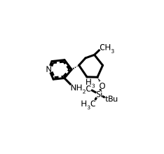 CC1C[C@H](O[Si](C)(C)C(C)(C)C)C[C@H](c2ccncc2N)C1